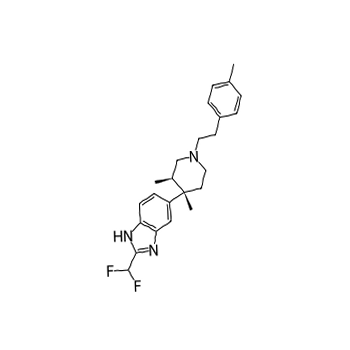 Cc1ccc(CCN2CC[C@](C)(c3ccc4[nH]c(C(F)F)nc4c3)[C@@H](C)C2)cc1